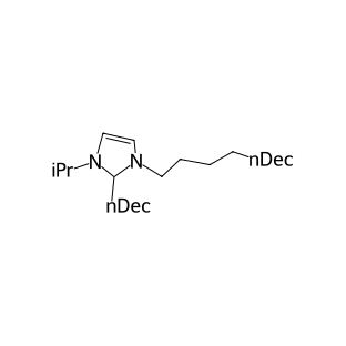 CCCCCCCCCCCCCCN1C=CN(C(C)C)C1CCCCCCCCCC